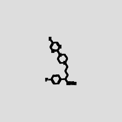 CC(=O)NC(CCCN1CCN(c2ncc(F)cn2)CC1)c1ccc(F)cc1